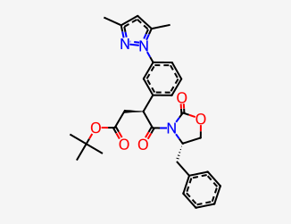 Cc1cc(C)n(-c2cccc([C@H](CC(=O)OC(C)(C)C)C(=O)N3C(=O)OC[C@@H]3Cc3ccccc3)c2)n1